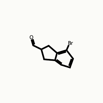 O=CC1Cc2cccc(Br)c2C1